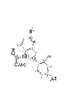 CCc1ccc(OCc2cc(Br)ccc2NC(=O)OC)c(C)c1